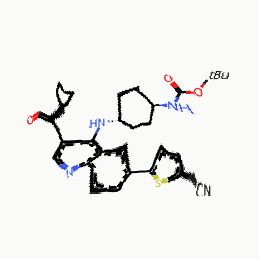 CC(C)(C)OC(=O)N[C@H]1CC[C@H](Nc2c(C(=O)C3CC3)cnc3ccc(-c4ccc(C#N)s4)cc23)CC1